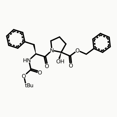 CC(C)(C)OC(=O)N[C@@H](Cc1ccccc1)C(=O)N1CCC[C@]1(O)C(=O)OCc1ccccc1